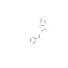 O=C1c2ccc(O)cc2OC1C/C=C/c1ccccc1